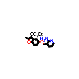 CCOC(=O)c1c(C)oc2ccc(OCc3cccnc3N)cc12